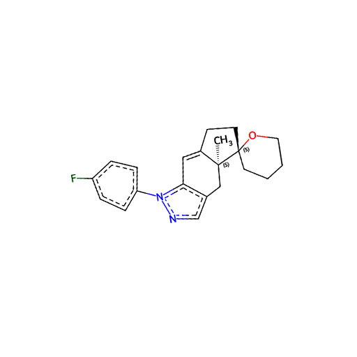 C[C@]12Cc3cnn(-c4ccc(F)cc4)c3C=C1CC[C@@]21CCCCO1